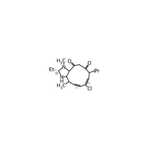 CC[C@H]1NC2C(C)/C=C\C(Cl)=C/C(C(C)C)C(=O)CC(=O)C2N1C